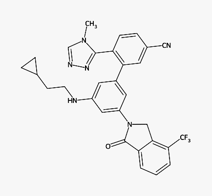 Cn1cnnc1-c1ccc(C#N)cc1-c1cc(NCCC2CC2)cc(N2Cc3c(cccc3C(F)(F)F)C2=O)c1